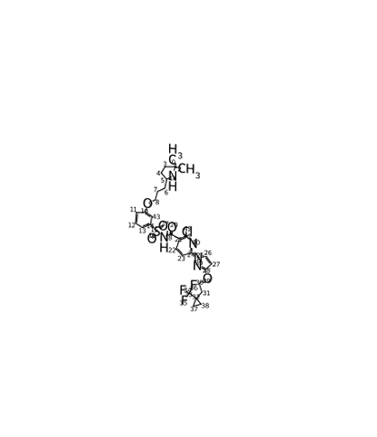 CC1(C)CCC(CCCOc2cccc(S(=O)(=O)NC(=O)c3ccc(-n4ccc(OCCC5(C(F)(F)F)CC5)n4)nc3Cl)c2)N1